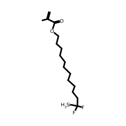 C=C(C)C(=O)OCCCCCCCCCCCC(F)(F)[SiH3]